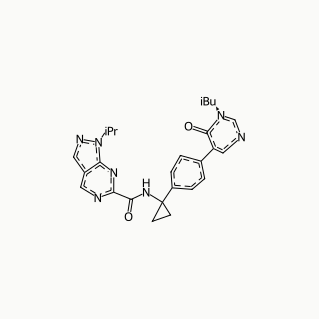 CC[C@H](C)n1cncc(-c2ccc(C3(NC(=O)c4ncc5cnn(C(C)C)c5n4)CC3)cc2)c1=O